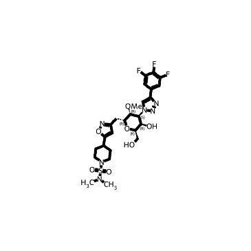 CO[C@@H]1[C@@H](n2cc(-c3cc(F)c(F)c(F)c3)nn2)[C@@H](O)[C@@H](CO)O[C@@H]1Cc1cc(C2CCN(S(=O)(=O)N(C)C)CC2)on1